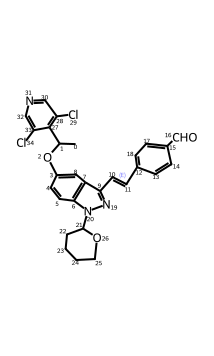 CC(Oc1ccc2c(c1)c(/C=C/c1ccc(C=O)cc1)nn2C1CCCCO1)c1c(Cl)cncc1Cl